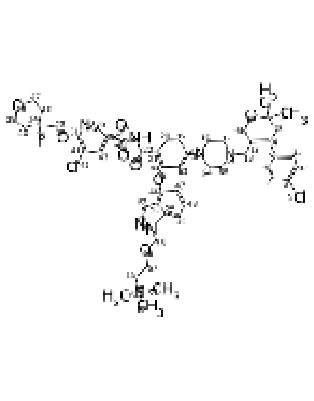 CC1(C)CC(c2ccc(Cl)cc2)=C(CN2CCN(c3ccc(C(=O)NS(=O)(=O)c4cnc(OCC5(F)CCOCC5)c(Cl)c4)c(Oc4cccc5c4cnn5COCC[Si](C)(C)C)c3)CC2)CO1